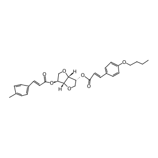 CCCCOc1ccc(/C=C/C(=O)O[C@@H]2CO[C@H]3[C@@H]2OC[C@@H]3OC(=O)/C=C/c2ccc(C)cc2)cc1